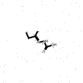 CC/C(C)=N/NC(O)=S